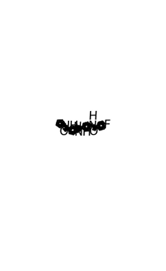 O=C(Nc1ccc(-c2nc3cc(C(=O)NC4CCCC4)ccc3[nH]2)cc1)c1ccc(F)cc1